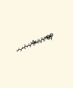 CCCCCCCCCCCCCCCCCCNOC=O.[Ni]